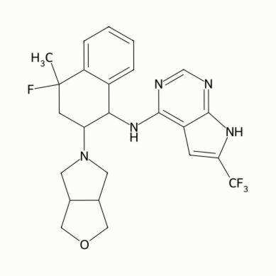 CC1(F)CC(N2CC3COCC3C2)C(Nc2ncnc3[nH]c(C(F)(F)F)cc23)c2ccccc21